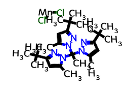 Cc1cc(C(C)(C)C)nn1C(C)(n1nc(C(C)(C)C)cc1C)n1nc(C(C)(C)C)cc1C.[Cl][Mn][Cl]